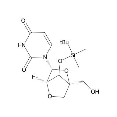 CC(C)(C)[Si](C)(C)OC1[C@H]2OC[C@]1(CO)O[C@H]2n1ccc(=O)[nH]c1=O